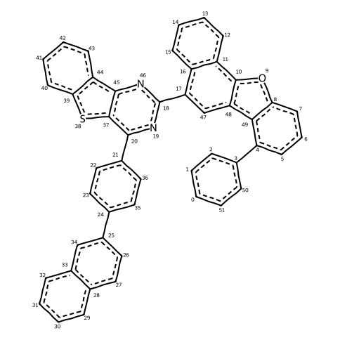 c1ccc(-c2cccc3oc4c5ccccc5c(-c5nc(-c6ccc(-c7ccc8ccccc8c7)cc6)c6sc7ccccc7c6n5)cc4c23)cc1